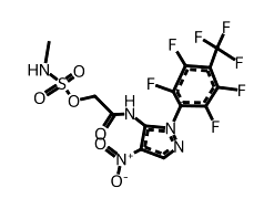 CNS(=O)(=O)OCC(=O)Nc1c([N+](=O)[O-])cnn1-c1c(F)c(F)c(C(F)(F)F)c(F)c1F